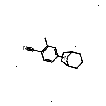 Cc1cc(N2C3CCCC2CC3)ccc1C#N